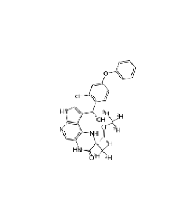 [2H]C([2H])([2H])OC[C@@]1(C([2H])([2H])[2H])Nc2c(cnc3[nH]cc(C(O)c4ccc(Oc5ccccc5)cc4Cl)c23)NC1=O